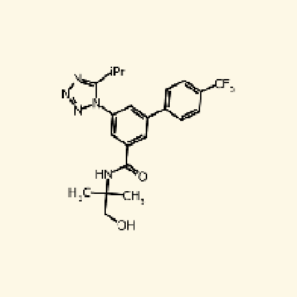 CC(C)c1nnnn1-c1cc(C(=O)NC(C)(C)CO)cc(-c2ccc(C(F)(F)F)cc2)c1